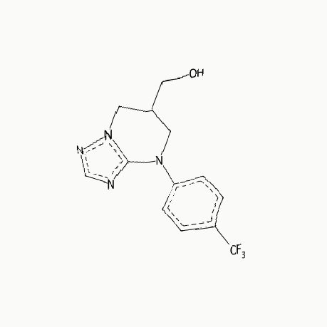 OCC1CN(c2ccc(C(F)(F)F)cc2)c2ncnn2C1